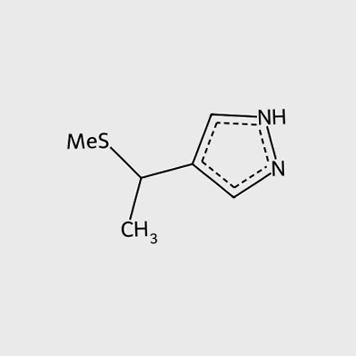 CSC(C)c1cn[nH]c1